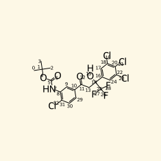 CC(C)(C)OC(=O)Nc1cc(C(=O)CC(O)(c2cc(Cl)c(Cl)c(Cl)c2)C(F)(F)F)ccc1Cl